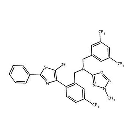 CCc1sc(-c2ccccc2)nc1-c1ccc(C(F)(F)F)cc1CN(Cc1cc(C(F)(F)F)cc(C(F)(F)F)c1)c1nnn(C)n1